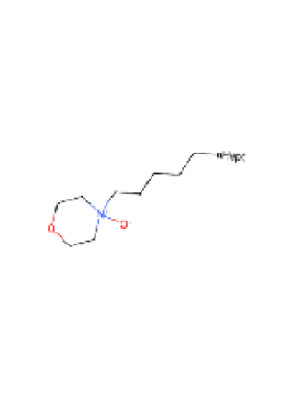 CCCCCCCCCCCC[N+]1([O-])CCOCC1